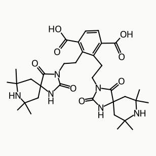 CC1(C)CC2(CC(C)(C)N1)NC(=O)N(CCc1c(C(=O)O)ccc(C(=O)O)c1CCN1C(=O)NC3(CC(C)(C)NC(C)(C)C3)C1=O)C2=O